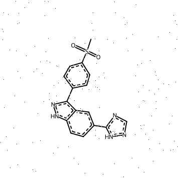 CS(=O)(=O)c1ccc(-c2n[nH]c3ccc(-c4ncn[nH]4)cc23)cc1